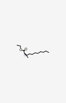 CCCCCCCC/C(C)=C\C(=O)OCC